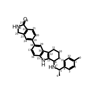 Cc1ccc([C@@H](C)NC2CCCc3c2[nH]c2ccc(-c4ccc5c(c4)CNC5=O)cc32)cc1